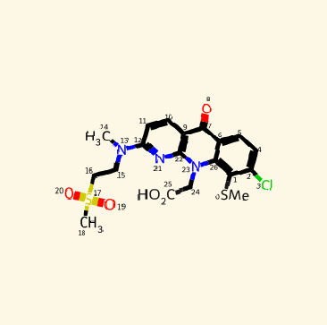 CSc1c(Cl)ccc2c(=O)c3ccc(N(C)CCS(C)(=O)=O)nc3n(CC(=O)O)c12